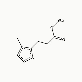 Cc1ccsc1CCC(=O)OC(C)(C)C